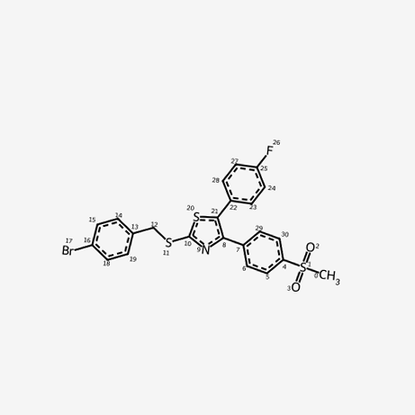 CS(=O)(=O)c1ccc(-c2nc(SCc3ccc(Br)cc3)sc2-c2ccc(F)cc2)cc1